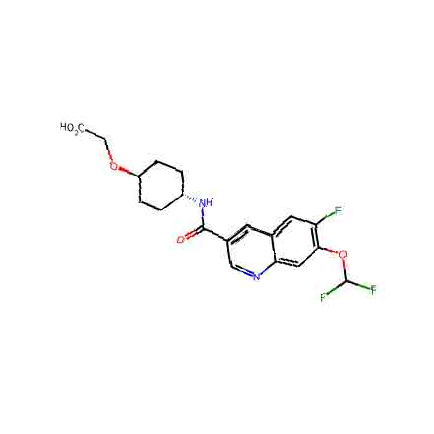 O=C(O)CO[C@H]1CC[C@H](NC(=O)c2cnc3cc(OC(F)F)c(F)cc3c2)CC1